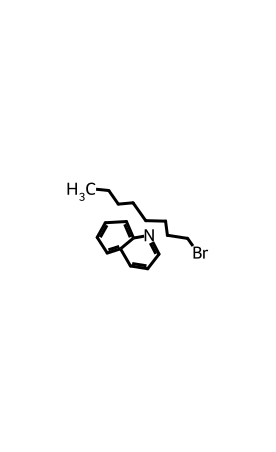 CCCCCCCCBr.c1ccc2ncccc2c1